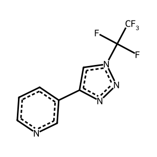 FC(F)(F)C(F)(F)n1cc(-c2cccnc2)nn1